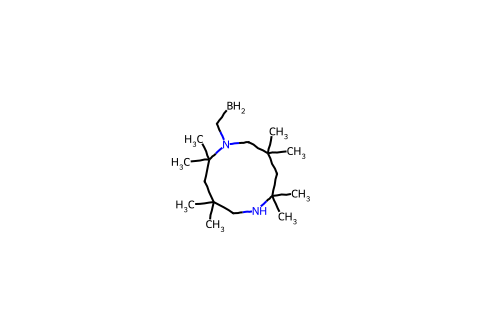 BCN1CC(C)(C)CC(C)(C)NCC(C)(C)CC1(C)C